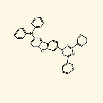 c1ccc(-c2nc(-c3ccccc3)nc(-c3ccc4c(c3)oc3ccc(N(c5ccccc5)c5ccccc5)cc34)n2)cc1